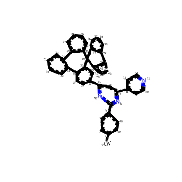 N#Cc1ccc(-c2nc(-c3ccncc3)cc(-c3ccc4c(c3)C3(c5ccccc5-c5ccccc5-4)c4ccccc4-c4ccccc43)n2)cc1